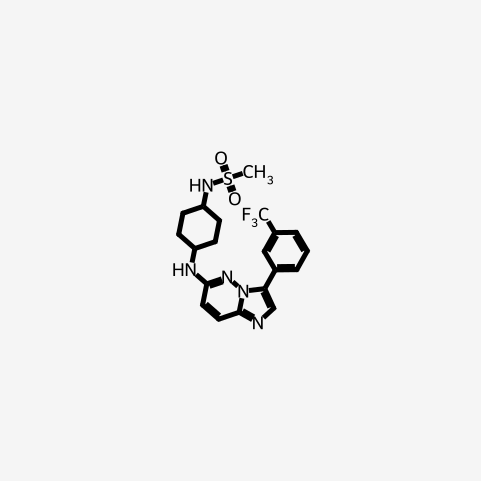 CS(=O)(=O)NC1CCC(Nc2ccc3ncc(-c4cccc(C(F)(F)F)c4)n3n2)CC1